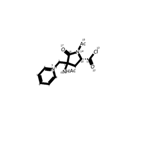 CC(=O)NC1(C[n+]2ccccc2)C[C@@H](C(=O)Cl)N(C(C)=O)C1=O